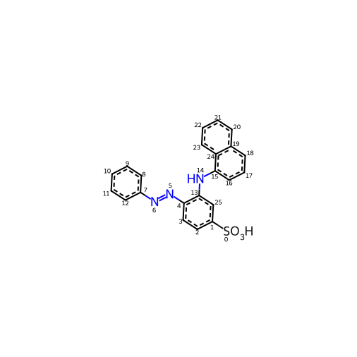 O=S(=O)(O)c1ccc(N=Nc2ccccc2)c(Nc2cccc3ccccc23)c1